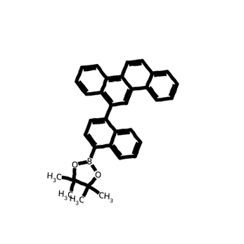 CC1(C)OB(c2ccc(-c3cc4c5ccccc5ccc4c4ccccc34)c3ccccc23)OC1(C)C